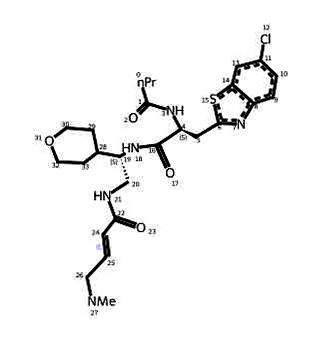 CCCC(=O)N[C@@H](Cc1nc2ccc(Cl)cc2s1)C(=O)N[C@H](CNC(=O)/C=C/CNC)C1CCOCC1